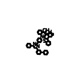 CC1(C)c2ccccc2N(c2ccc(-c3nc(-c4ccccc4)cc(-c4cccc(-c5ccccc5)c4)n3)cc2)c2c1c1ccccc1c1c2sc2ccccc21